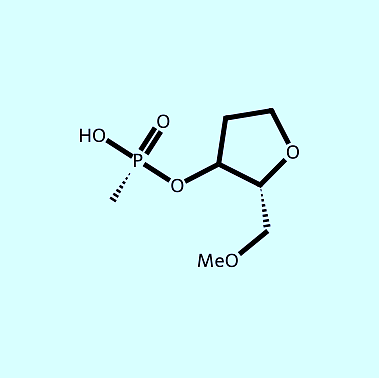 COC[C@H]1OCCC1O[P@](C)(=O)O